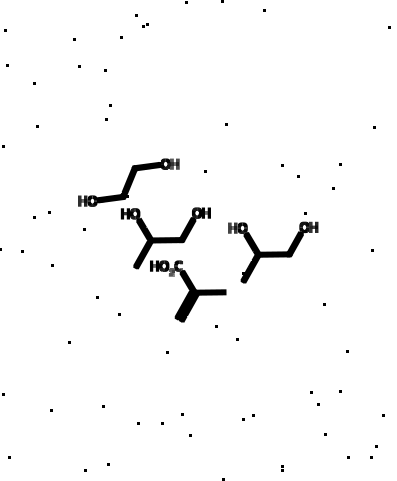 C=C(C)C(=O)O.CC(O)CO.CC(O)CO.OCCO